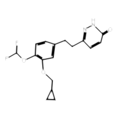 O=c1ccc(CCc2ccc(OC(F)F)c(OCC3CC3)c2)n[nH]1